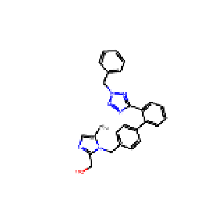 CCCCc1cnc(CO)n1Cc1ccc(-c2ccccc2-c2nnn(Cc3ccccc3)n2)cc1